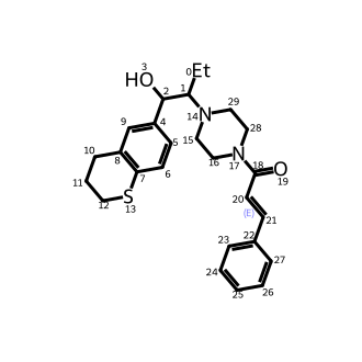 CCC(C(O)c1ccc2c(c1)CCCS2)N1CCN(C(=O)/C=C/c2ccccc2)CC1